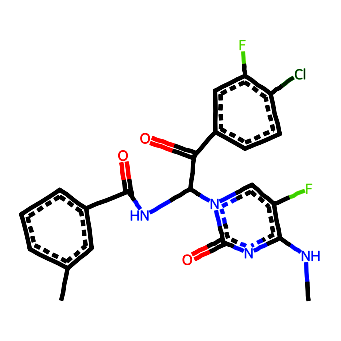 CNc1nc(=O)n(C(NC(=O)c2cccc(C)c2)C(=O)c2ccc(Cl)c(F)c2)cc1F